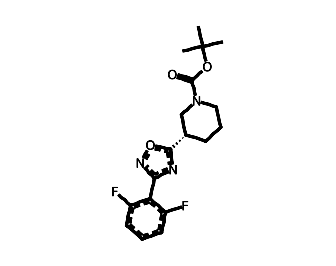 CC(C)(C)OC(=O)N1CCC[C@H](c2nc(-c3c(F)cccc3F)no2)C1